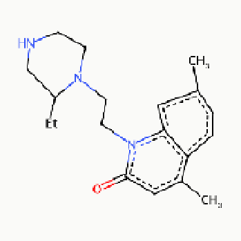 CCC1CNCCN1CCn1c(=O)cc(C)c2ccc(C)cc21